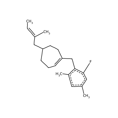 C/C=C(\C)CC1CCC=C(Cc2c(C)cc(C)cc2F)CC1